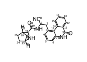 N#CC(Cc1cccc2[nH]c(=O)c3ccccc3c12)NC(=O)[C@H]1N[C@@H]2CC[C@H]1C2